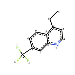 CCc1ccnc2cc(C(F)(F)F)ccc12